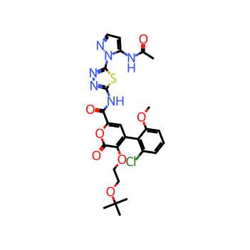 COc1cccc(Cl)c1-c1cc(C(=O)Nc2nnc(-n3nccc3NC(C)=O)s2)oc(=O)c1OCCOC(C)(C)C